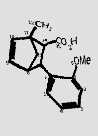 COc1ccccc1C1C2C=CC(C)(C2)C1C(=O)O